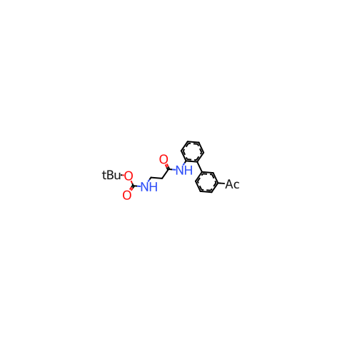 CC(=O)c1cccc(-c2ccccc2NC(=O)CCNC(=O)OC(C)(C)C)c1